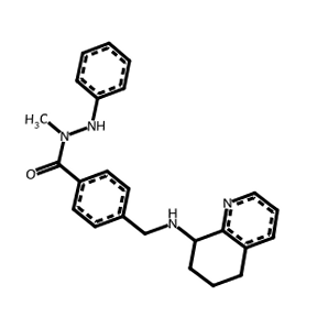 CN(Nc1ccccc1)C(=O)c1ccc(CNC2CCCc3cccnc32)cc1